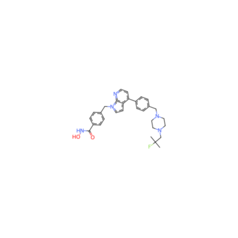 CC(C)(F)CN1CCN(Cc2ccc(-c3ccnc4c3ccn4Cc3ccc(C(=O)NO)cc3)cc2)CC1